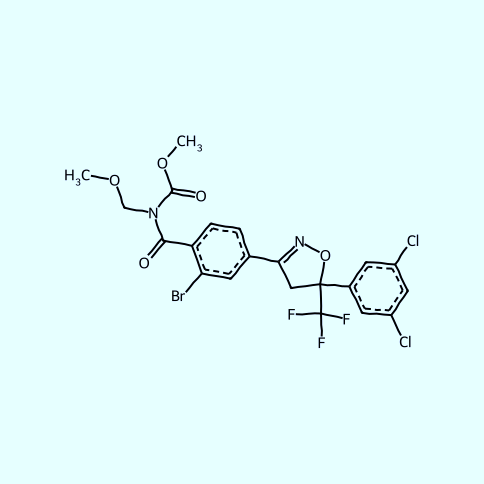 COCN(C(=O)OC)C(=O)c1ccc(C2=NOC(c3cc(Cl)cc(Cl)c3)(C(F)(F)F)C2)cc1Br